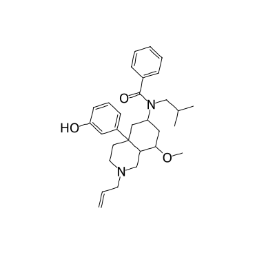 C=CCN1CCC2(c3cccc(O)c3)CC(N(CC(C)C)C(=O)c3ccccc3)CC(OC)C2C1